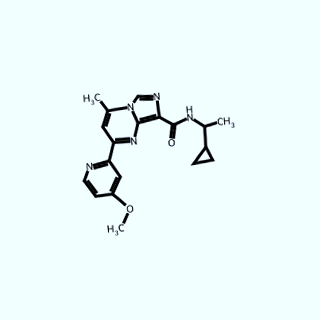 COc1ccnc(-c2cc(C)n3cnc(C(=O)NC(C)C4CC4)c3n2)c1